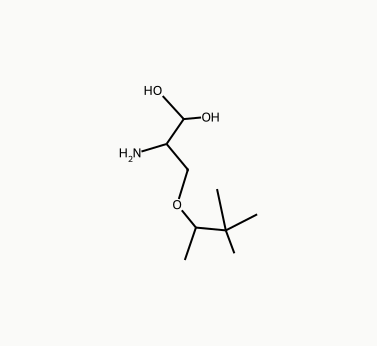 CC(OCC(N)C(O)O)C(C)(C)C